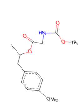 COc1ccc(CC(C)OC(=O)CNC(=O)OC(C)(C)C)cc1